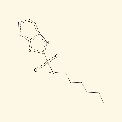 CCCCCCNS(=O)(=O)c1nc2ccccc2s1